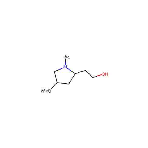 COC1CC(CCO)N(C(C)=O)C1